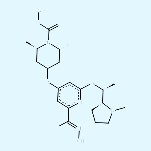 C[C@H](Oc1cc(OC2C[C@@H](C)N(C(=O)OC(C)(C)C)[C@H](C)C2)cc(/C(N)=N/O)n1)[C@@H]1CCCN1C